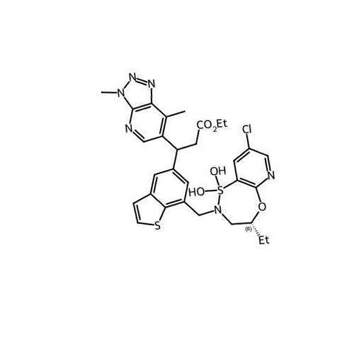 CCOC(=O)CC(c1cc(CN2C[C@@H](CC)Oc3ncc(Cl)cc3S2(O)O)c2sccc2c1)c1cnc2c(nnn2C)c1C